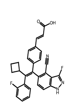 N#Cc1c(C(=C(c2ccccc2F)C2CCC2)c2ccc(C=CC(=O)O)cc2)ccc2[nH]nc(F)c12